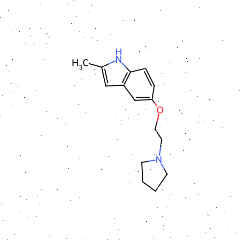 Cc1cc2cc(OCCN3CCCC3)ccc2[nH]1